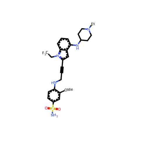 CCN1CCC(Nc2cccc3c2cc(C#CCNc2ccc(S(N)(=O)=O)cc2OC)n3CC(F)(F)F)CC1